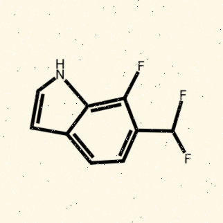 Fc1c(C(F)F)ccc2cc[nH]c12